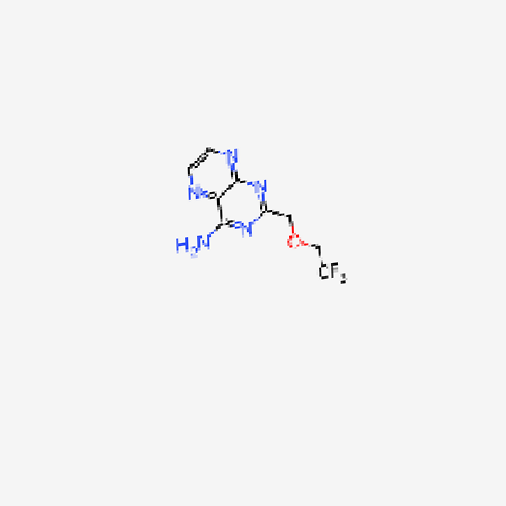 Nc1nc(COCC(F)(F)F)nc2nccnc12